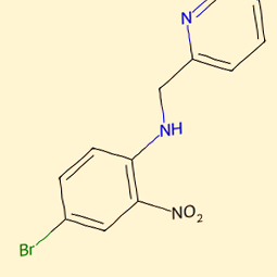 O=[N+]([O-])c1cc(Br)ccc1NCc1ccccn1